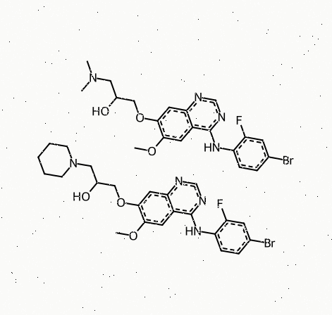 COc1cc2c(Nc3ccc(Br)cc3F)ncnc2cc1OCC(O)CN(C)C.COc1cc2c(Nc3ccc(Br)cc3F)ncnc2cc1OCC(O)CN1CCCCC1